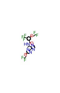 CC(NC(=O)c1cc(OCC(F)F)cc(C(F)(F)F)c1)c1nccnc1-c1ncc(OCC(F)F)cn1